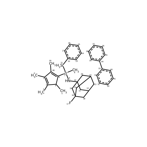 CC1=C(C)C(C)[C]([Zr]([CH3])([NH]C23CC4CC(CC(F)(C4)C2)C3)[SiH2]c2ccccc2)=C1C.c1ccc(-c2ccccc2)cc1